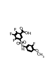 COc1ccc(NS(=O)(=O)c2cc(C(=O)O)c(F)c(F)c2F)cc1F